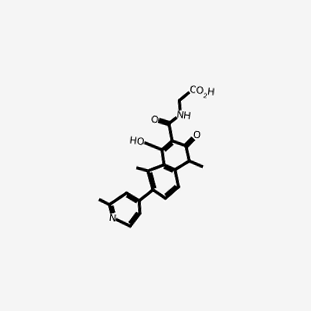 Cc1cc(-c2ccc3c(c2C)C(O)=C(C(=O)NCC(=O)O)C(=O)C3C)ccn1